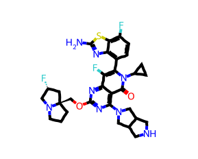 Nc1nc2c(-c3c(F)c4nc(OC[C@@]56CCCN5C[C@H](F)C6)nc(N5CC6CNCC6C5)c4c(=O)n3C3CC3)ccc(F)c2s1